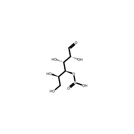 O=C[C@H](O)[C@@H](O)[C@@H](OS(=O)O)[C@H](O)CO